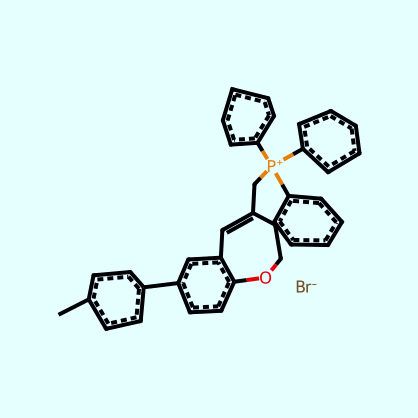 Cc1ccc(-c2ccc3c(c2)C=C(C[P+](c2ccccc2)(c2ccccc2)c2ccccc2)CCO3)cc1.[Br-]